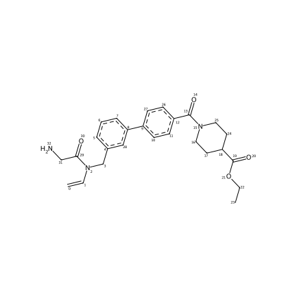 C=CN(Cc1cccc(-c2ccc(C(=O)N3CCC(C(=O)OCC)CC3)cc2)c1)C(=O)CN